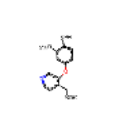 CNCc1ccncc1Oc1ccc(SC)c(OC)c1